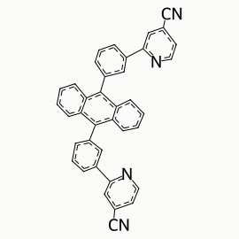 N#Cc1ccnc(-c2cccc(-c3c4ccccc4c(-c4cccc(-c5cc(C#N)ccn5)c4)c4ccccc34)c2)c1